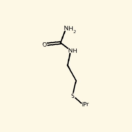 CC(C)SCCNC(N)=O